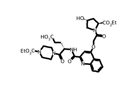 CCOC(=O)[C@@H]1C[C@@H](O)CN1C(=O)COc1cc(C(=O)N[C@@H](CCC(=O)O)C(=O)N2CCN(C(=O)OCC)CC2)nc2ccccc12